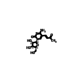 CC(=O)C=Cc1cn([C@@H]2O[C@H](CO)[C@@H](O)[C@@H]2O)c(=O)nc1N